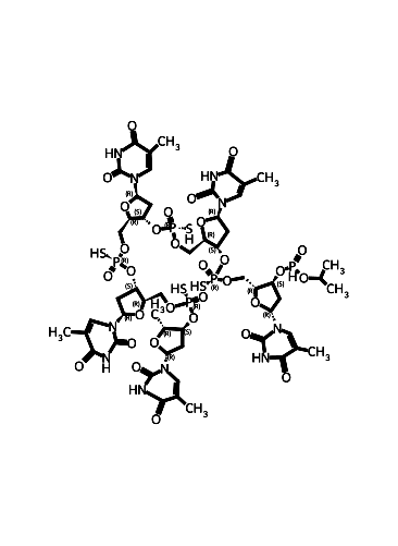 Cc1cn([C@H]2C[C@H](O[P@](=O)(S)OC[C@H]3O[C@@H](n4cc(C)c(=O)[nH]c4=O)C[C@@H]3O[P@](=O)(S)OC[C@H]3O[C@@H](n4cc(C)c(=O)[nH]c4=O)C[C@@H]3O[P@](=O)(S)OC[C@H]3O[C@@H](n4cc(C)c(=O)[nH]c4=O)C[C@@H]3O[P@](=O)(S)OC[C@H]3O[C@@H](n4cc(C)c(=O)[nH]c4=O)C[C@@H]3O[PH](=O)OC(C)C)[C@@H](C)O2)c(=O)[nH]c1=O